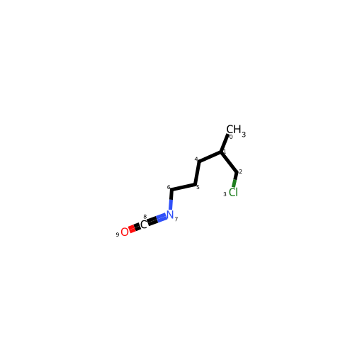 CC(CCl)CCCN=C=O